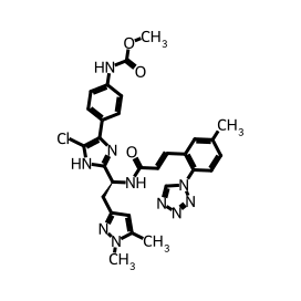 COC(=O)Nc1ccc(-c2nc([C@H](Cc3cc(C)n(C)n3)NC(=O)C=Cc3cc(C)ccc3-n3cnnn3)[nH]c2Cl)cc1